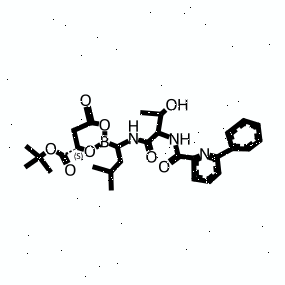 CC(C)CC(NC(=O)C(NC(=O)c1cccc(-c2ccccc2)n1)C(C)O)B1OC(=O)C[C@@H](C(=O)OC(C)(C)C)O1